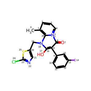 Cc1ccc[n+]2c(=O)c(-c3cccc(I)c3)c(O)n(Cc3cnc(Cl)s3)c12